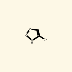 N#CC1=COON1